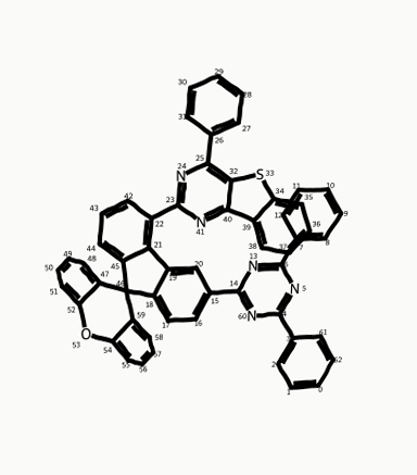 c1ccc(-c2nc(-c3ccccc3)nc(-c3ccc4c(c3)-c3c(-c5nc(-c6ccccc6)c6sc7ccccc7c6n5)cccc3C43c4ccccc4Oc4ccccc43)n2)cc1